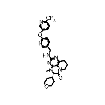 CN1c2nc(NCc3ccc(Oc4ccc(C(F)(F)F)nc4)nc3)nc3c2N(CCC3)C(=O)[C@@H]1C1CCOCC1